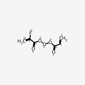 C=CC(=O)OOOC(=O)C(=C)F